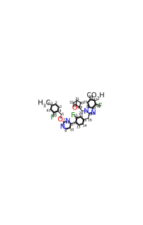 Cc1ccc(COc2nccc(-c3ccc(Cc4nc5c(F)cc(C(=O)O)cc5n4CC45CC(CO4)C5)cc3F)n2)c(F)c1